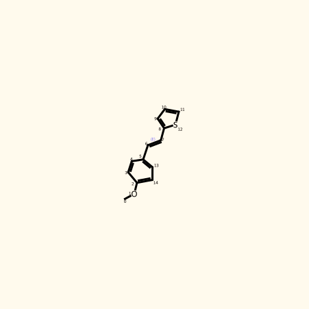 COc1ccc(/C=C/c2cccs2)cc1